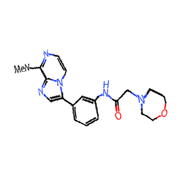 CNc1nccn2c(-c3cccc(NC(=O)CN4CCOCC4)c3)cnc12